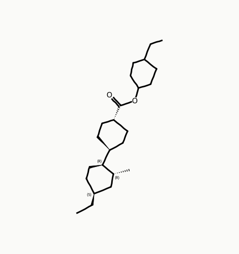 CCC1CCC(OC(=O)[C@H]2CC[C@H]([C@@H]3CC[C@H](CC)C[C@H]3C)CC2)CC1